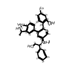 CC1NNc2ccc(-c3cc(NC(CO)c4ccccc4)cnc3-c3ccc(F)cc3O)cc21